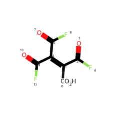 O=C(O)C(C(=O)F)=C(C(=O)F)C(=O)F